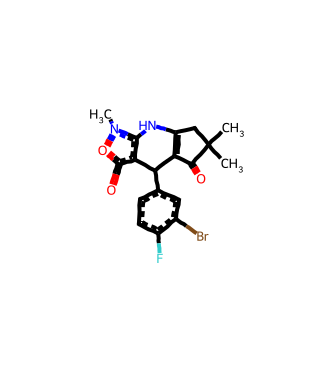 Cn1oc(=O)c2c1NC1=C(C(=O)C(C)(C)C1)C2c1ccc(F)c(Br)c1